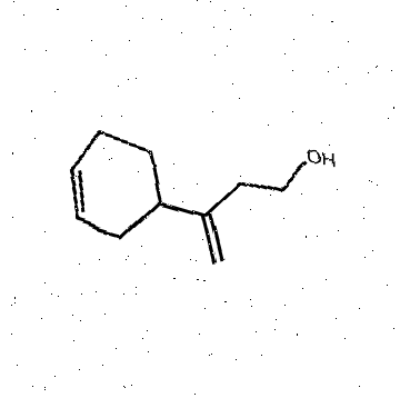 C=C(CCO)C1CC=CCC1